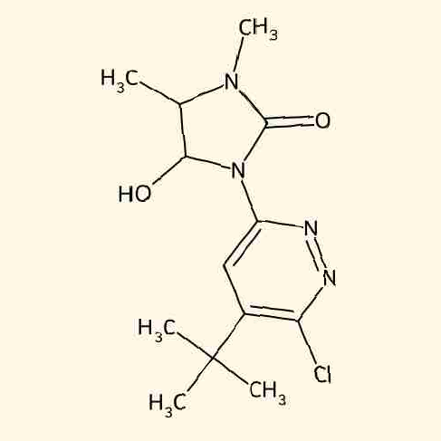 CC1C(O)N(c2cc(C(C)(C)C)c(Cl)nn2)C(=O)N1C